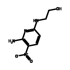 Nc1nc(NCCO)ccc1[N+](=O)[O-]